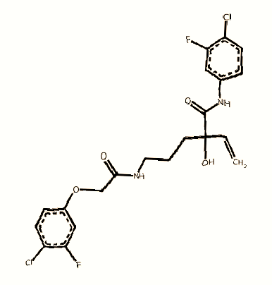 C=CC(O)(CCCNC(=O)COc1ccc(Cl)c(F)c1)C(=O)Nc1ccc(Cl)c(F)c1